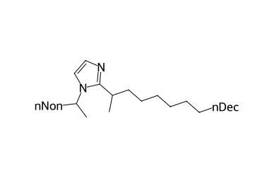 CCCCCCCCCCCCCCCCC(C)c1nccn1C(C)CCCCCCCCC